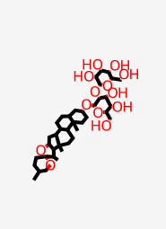 CC1CCC2(OC1)OC1CC3C4CCC5CC(OC6OC(CO)C(O)C(O)C6OC6OC(CO)C(O)C(O)C6O)CCC5(C)C4CCC3(C)C1C2C